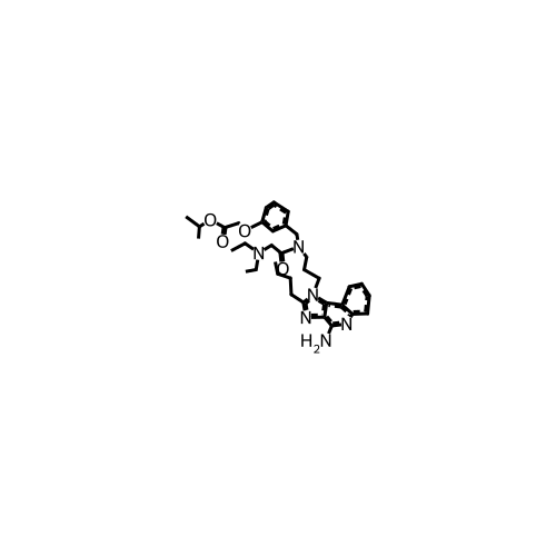 CCCCc1nc2c(N)nc3ccccc3c2n1CCCN(Cc1cccc(OCC(=O)OC(C)C)c1)C(=O)CN(CC)CC